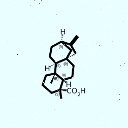 C=C1C[C@]23CC[C@@H]4[C@](C)(CCC[C@]4(C)C(=O)O)[C@H]2CC[C@@H]1C3